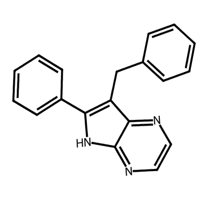 c1ccc(Cc2c(-c3ccccc3)[nH]c3nccnc23)cc1